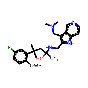 COc1ccc(F)cc1C(C)(C)CC(O)(NCc1[nH]c2ccncc2c1CN(C)C)C(F)(F)F